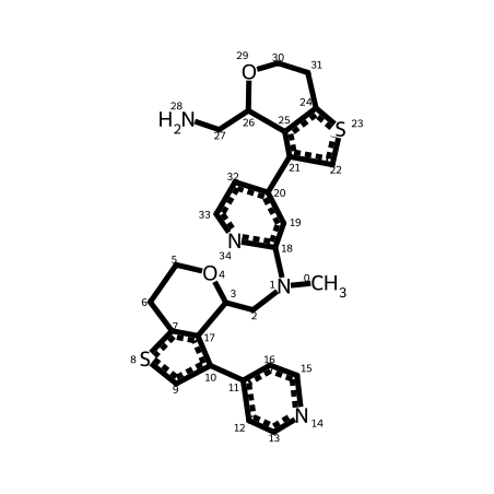 CN(CC1OCCc2scc(-c3ccncc3)c21)c1cc(-c2csc3c2C(CN)OCC3)ccn1